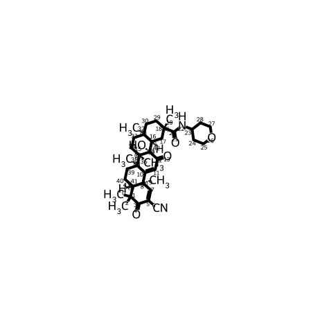 CC1(C)C(=O)C(C#N)=C[C@]2(C)C3=CC(=O)[C@]4(O)[C@@H]5C[C@@](C)(C(=O)NC6CCOCC6)CC[C@]5(C)CC[C@@]4(C)[C@]3(C)CC[C@@H]12